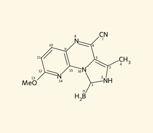 BC1NC(C)=C2C(C#N)=Nc3ccc(OC)nc3N21